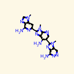 Cn1cnc2c(N)nc(-c3nc4c(N)c(-c5nc6c(N)nncc6n5C)cnc4n3C)cc21